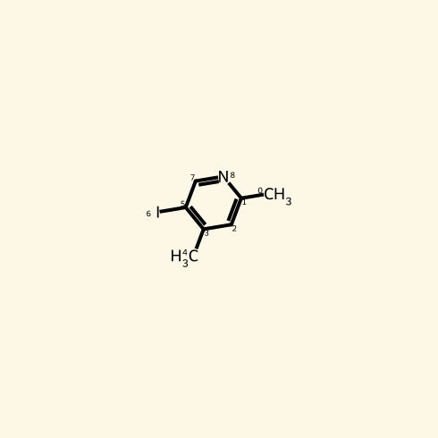 Cc1cc(C)c(I)cn1